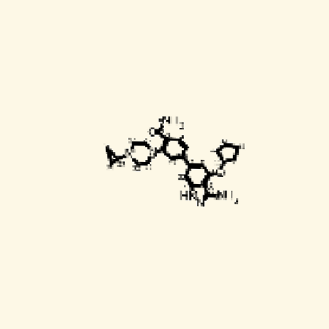 NC(=O)c1ccc(-c2cc(OC3CCCC3)c3c(N)n[nH]c3c2)cc1N1CCN(C2CC2)CC1